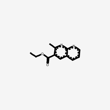 CCOC(=O)c1cc2cccnc2nc1C